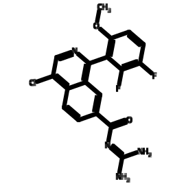 COc1ccc(F)c(F)c1-c1ncc(Cl)c2ccc(C(=O)N=C(N)N)cc12